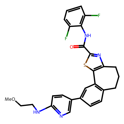 COCCNc1ccc(-c2ccc3c(c2)-c2sc(C(=O)Nc4c(F)cccc4F)nc2CCC3)cn1